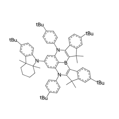 CC(C)(C)c1ccc(N2C3=C(B4C5=C(N(c6ccc(C(C)(C)C)cc6)c6cc(N7c8ccc(C(C)(C)C)cc8C8(C)CCCCC78C)cc2c64)C(C)(C)c2cc(C(C)(C)C)ccc25)C(C)(C)c2cc(C(C)(C)C)ccc23)cc1